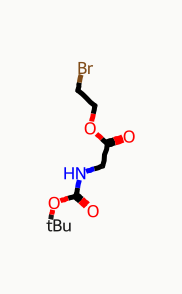 CC(C)(C)OC(=O)NCC(=O)OCCBr